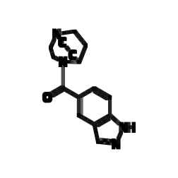 O=C(c1ccc2[nH]ncc2c1)N1CCN2CCC1CC2